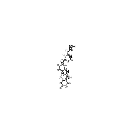 Cc1ccc(Nc2nc3cc(Oc4ccnc(C=NO)c4)ccc3n2C)cc1